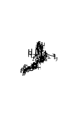 C[C@@]1(c2nc(NC(=O)c3ccc(OCC(F)(F)C(F)F)cn3)ccc2F)C[SH]2(=O)NCCC[C@]2(C)C(N)=N1